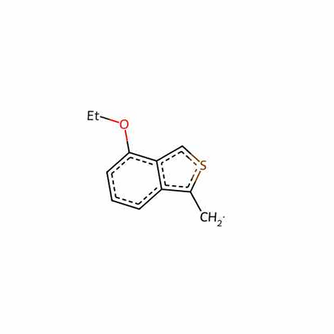 [CH2]c1scc2c(OCC)cccc12